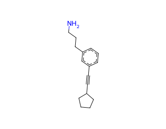 NCCCc1cccc(C#CC2CCCC2)c1